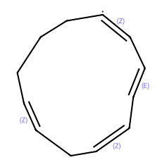 [C]1=C/C=C/C=C\C/C=C\CCC\1